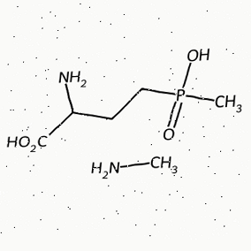 CN.CP(=O)(O)CCC(N)C(=O)O